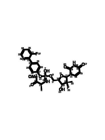 COC(=O)[C@H](C)N[PH](O)(OC[C@H]1O[C@@H](n2ccc(=O)[nH]c2=O)[C@](C)(F)[C@@H]1O)Oc1ccc(-c2ncccc2F)cc1